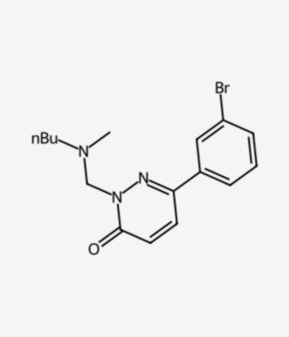 CCCCN(C)Cn1nc(-c2cccc(Br)c2)ccc1=O